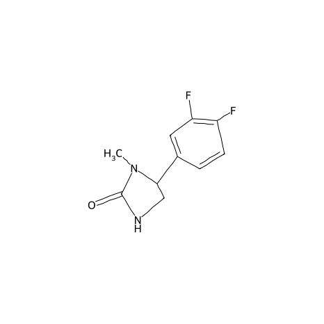 CN1C(=O)NCC1c1ccc(F)c(F)c1